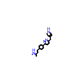 C=C(/C=C/c1ccc(-c2ccc(CC3CC4CC3CN4)nn2)cc1)NC